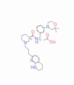 CC1(C)CN(c2cccc([C@H](CC(=O)O)NC(=O)[C@@H]3CCCN(CCCc4ccc5c(n4)NCCC5)C3)c2)CCO1